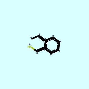 C/C=c1/cccc/c1=C/S